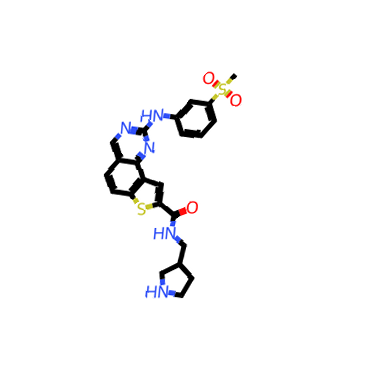 CS(=O)(=O)c1cccc(Nc2ncc3ccc4sc(C(=O)NCC5CCNC5)cc4c3n2)c1